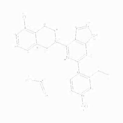 CCc1cc(O)ccc1-c1cc2[nH]ncc2c(N2CCc3c(Cl)cccc3C2)n1.O=CO